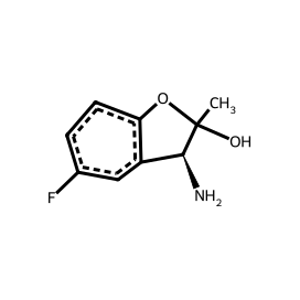 CC1(O)Oc2ccc(F)cc2[C@@H]1N